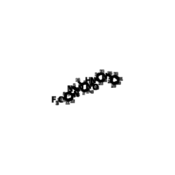 C[C@@H]1CN(c2cnc3cc(C(F)(F)F)ccc3n2)[C@@H](C)CN1C(=O)NC1CCN(Cc2ccccc2)CC1